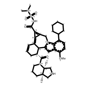 COc1ccc(C2CCCCC2)c2c1cc1n2CC2=C(C(=O)NS(=O)(=O)N(C)C)C2=C2C=CC[C@@H](C(=O)N3CCC[C@@H]4CNC[C@@H]43)C21